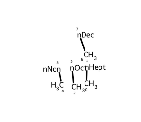 CCCCCCCC.CCCCCCCCC.CCCCCCCCCC.CCCCCCCCCCC